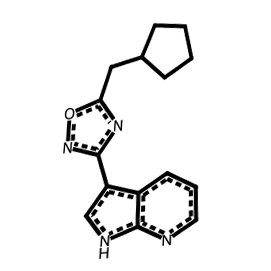 c1cnc2[nH]cc(-c3noc(CC4CCCC4)n3)c2c1